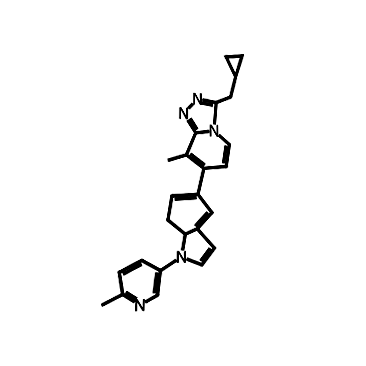 Cc1ccc(N2C=CC3=CC(c4ccn5c(CC6CC6)nnc5c4C)=CCC32)cn1